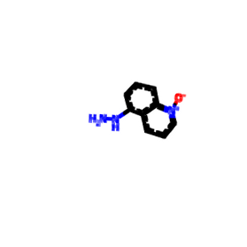 NNc1cccc2c1ccc[n+]2[O-]